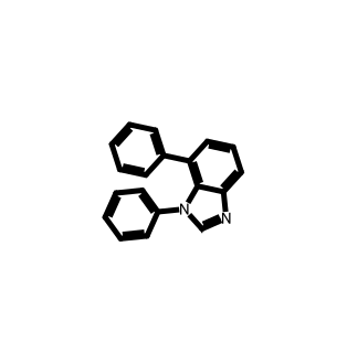 [c]1nc2cccc(-c3ccccc3)c2n1-c1ccccc1